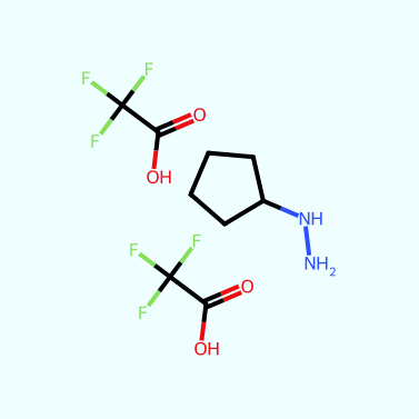 NNC1CCCC1.O=C(O)C(F)(F)F.O=C(O)C(F)(F)F